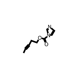 CC#CCCOC(=O)n1ccnc1